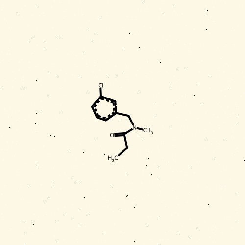 CCC(=O)N(C)Cc1cccc(Cl)c1